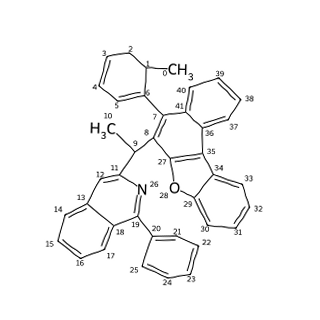 CC1CC=CC=C1c1c(C(C)c2cc3ccccc3c(-c3ccccc3)n2)c2oc3ccccc3c2c2ccccc12